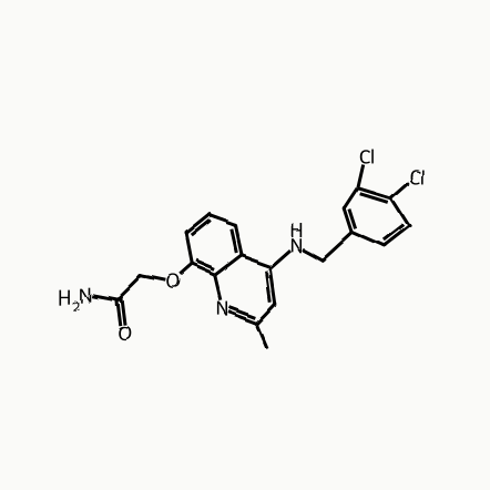 Cc1cc(NCc2ccc(Cl)c(Cl)c2)c2cccc(OCC(N)=O)c2n1